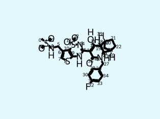 CS(=O)(=O)NCc1csc2c1S(=O)(=O)N=C(C1=C(O)[C@@H]3[C@H]4CC[C@H](C4)[C@@H]3N(Cc3ccc(F)cc3)C1=O)N2